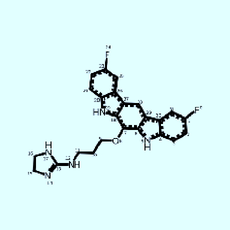 Fc1ccc2[nH]c3c(OCCCNC4=NCCN4)c4[nH]c5ccc(F)cc5c4cc3c2c1